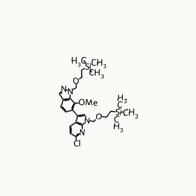 COc1c(-c2cn(COCC[Si](C)(C)C)c3nc(Cl)ccc23)ccc2cnn(COCC[Si](C)(C)C)c12